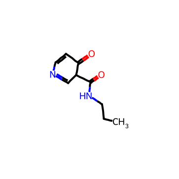 CCCNC(=O)C1C=NC=CC1=O